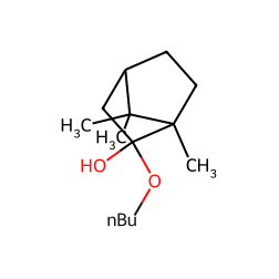 CCCCOC1(O)CC2CCC1(C)C2(C)C